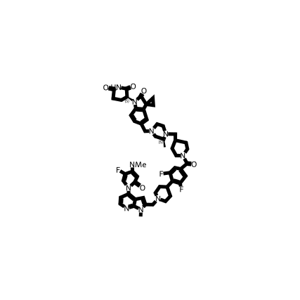 CNc1cc(=O)n(-c2ccnc3c2cc(CN2CCC(c4c(F)cc(C(=O)N5CCC(CN6CCN(Cc7ccc8c(c7)C7(CC7)C(=O)N8[C@H]7CCC(=O)NC7=O)C[C@@H]6C)CC5)cc4F)CC2)n3C)cc1F